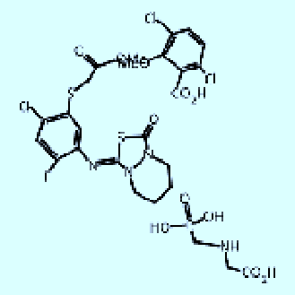 COC(=O)CSc1cc(/N=c2\sc(=O)n3n2CCCC3)c(F)cc1Cl.COc1c(Cl)ccc(Cl)c1C(=O)O.O=C(O)CNCP(=O)(O)O